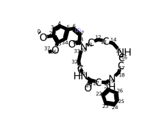 COc1ccc(/C=C\C(=O)N2CCCCNCCCN[C@H](c3ccccc3)CC(=O)NCCC2)cc1OC